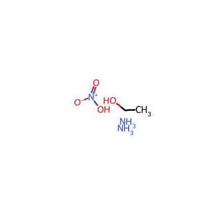 CCO.N.N.O=[N+]([O-])O